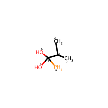 CC(C)C(O)(O)P